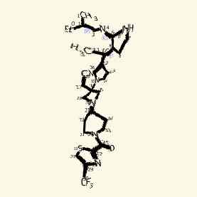 CC/C(C)=C/N=C1/NC=C/C1=C(/C)c1ccn(C2(CC#N)CN(C3CCN(C(=O)c4nc(C(F)(F)F)cs4)CC3)C2)c1